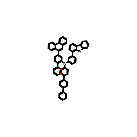 c1ccc(-c2ccc(-c3ccc(N(c4cccc(-c5cccc6c5sc5ccccc56)c4)c4cc(-c5cc6ccccc6c6ccccc56)ccc4-c4ccccc4)cc3)cc2)cc1